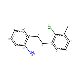 Cc1cccc(CCc2ccccc2N)c1Cl